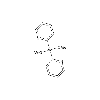 C[O][Ag]([O]C)([c]1ccccn1)[c]1ccccn1